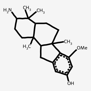 COc1cc(O)cc2c1C1(C)CCC3C(C)(C)C(N)CCC3(C)C1C2